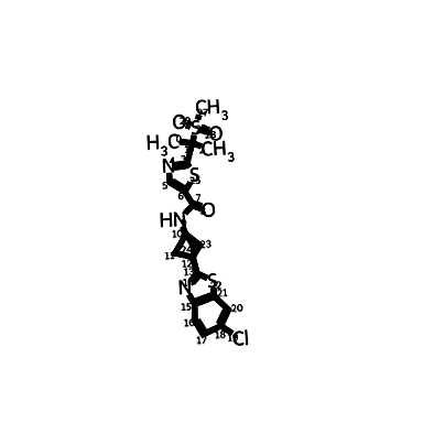 CC(C)(c1ncc(C(=O)NC23CC(c4nc5ccc(Cl)cc5s4)(C2)C3)s1)S(C)(=O)=O